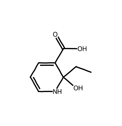 CCC1(O)NC=CC=C1C(=O)O